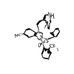 N#Cc1ccc2c(c1)CN(S(=O)(=O)c1ccccc1C(F)(F)F)[C@H](Cc1ccccc1)CN2Cc1c[nH]cn1